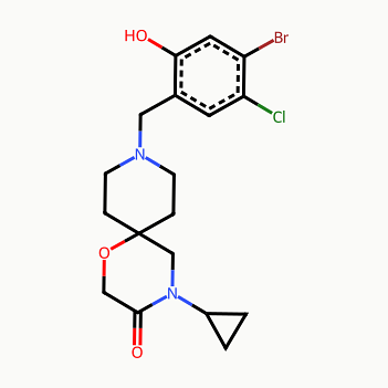 O=C1COC2(CCN(Cc3cc(Cl)c(Br)cc3O)CC2)CN1C1CC1